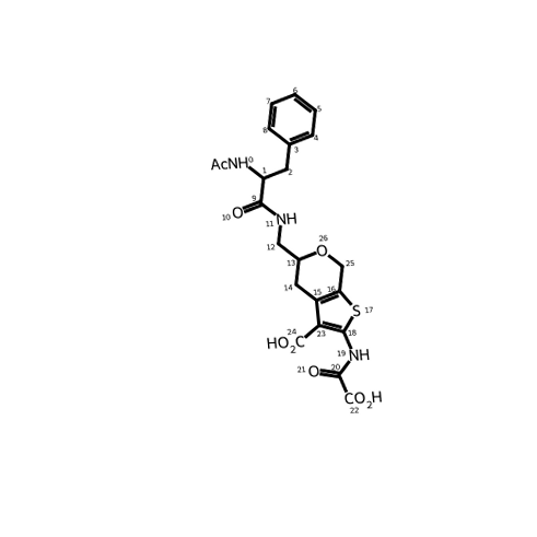 CC(=O)NC(Cc1ccccc1)C(=O)NCC1Cc2c(sc(NC(=O)C(=O)O)c2C(=O)O)CO1